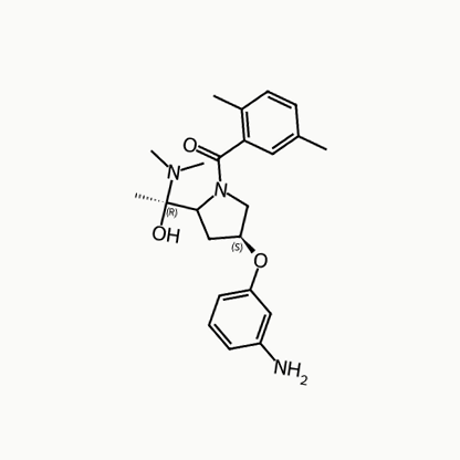 Cc1ccc(C)c(C(=O)N2C[C@@H](Oc3cccc(N)c3)CC2[C@@](C)(O)N(C)C)c1